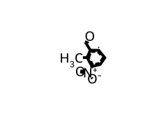 Cc1c(C=O)[c]ccc1[N+](=O)[O-]